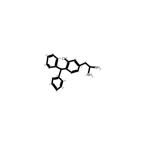 NC(N)Cc1ccc([C](c2ccccc2)c2ccccc2)c(Cl)c1